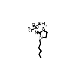 CCCCCCN1CCN(C)/C1=N\P(=O)(OC)ON